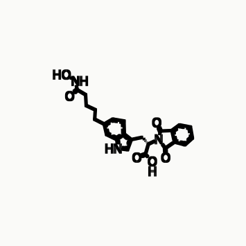 O=C(CCCCc1ccc2c(C[C@@H](C(=O)O)N3C(=O)c4ccccc4C3=O)c[nH]c2c1)NO